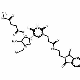 CC[C@H]1O[C@@H](c2cn(CCC(=O)NCCN3C(=O)c4ccccc4C3=O)c(=O)[nH]c2=O)[C@@H](OC(=O)CCC(=O)NC)C1C